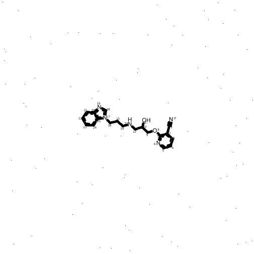 N#Cc1cccnc1OCC(O)CNCCCn1cnc2ccccc21